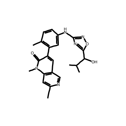 Cc1cc2c(cn1)cc(-c1cc(Nc3noc(C(O)C(C)C)n3)ccc1C)c(=O)n2C